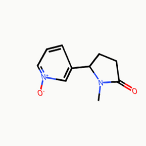 CN1C(=O)CCC1c1ccc[n+]([O-])c1